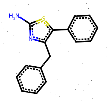 Nc1nc(Cc2ccccc2)c(-c2ccccc2)s1